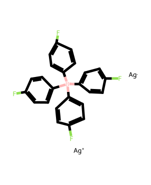 Fc1ccc([B-](c2ccc(F)cc2)(c2ccc(F)cc2)c2ccc(F)cc2)cc1.[Ag+].[Ag]